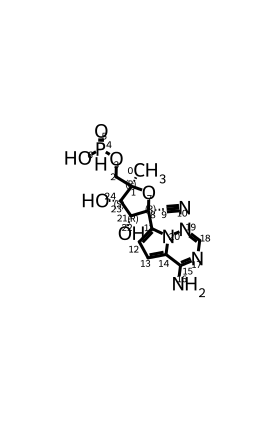 C[C@]1(CO[PH](=O)O)O[C@@](C#N)(c2ccc3c(N)ncnn23)[C@H](O)[C@@H]1O